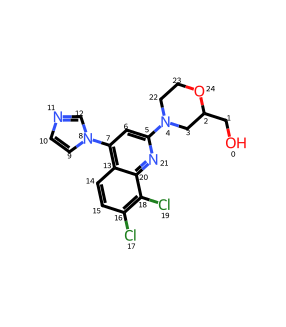 OCC1CN(c2cc(-n3ccnc3)c3ccc(Cl)c(Cl)c3n2)CCO1